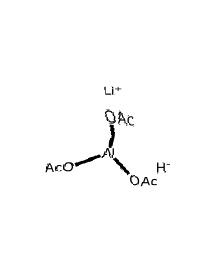 CC(=O)[O][Al]([O]C(C)=O)[O]C(C)=O.[H-].[Li+]